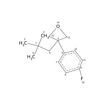 CC(C)(C)CC1(c2ccc(F)cc2)COC1